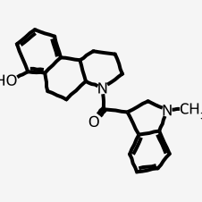 CN1CC(C(=O)N2CCCC3c4cccc(O)c4CCC32)c2ccccc21